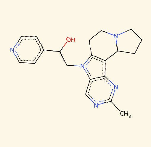 Cc1ncc2c(n1)c1c(n2CC(O)c2ccncc2)CCN2CCCC12